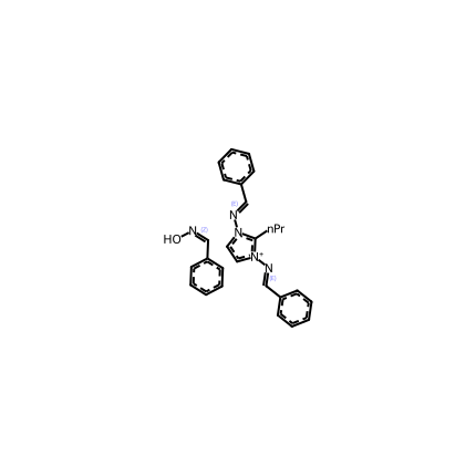 CCCc1n(/N=C/c2ccccc2)cc[n+]1/N=C/c1ccccc1.O/N=C\c1ccccc1